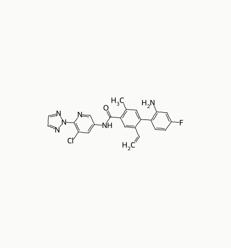 C=Cc1cc(C(=O)Nc2cnc(-n3nccn3)c(Cl)c2)c(C)cc1-c1ccc(F)cc1N